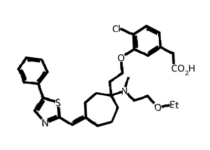 CCOCCN(C)C1(CCOc2cc(CC(=O)O)ccc2Cl)CCC/C(=C/c2ncc(-c3ccccc3)s2)CC1